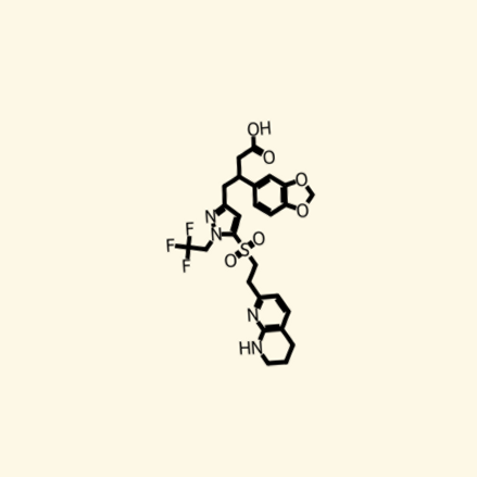 O=C(O)CC(Cc1cc(S(=O)(=O)CCc2ccc3c(n2)NCCC3)n(CC(F)(F)F)n1)c1ccc2c(c1)OCO2